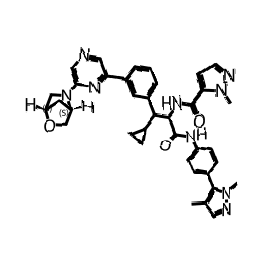 Cc1cnn(C)c1-c1ccc(NC(=O)C(NC(=O)c2ccnn2C)C(c2cccc(-c3cncc(N4C[C@@H]5C[C@H]4CO5)n3)c2)C2CC2)cc1